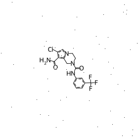 NC(=O)c1c(Cl)cn2c1CN(C(=O)Nc1cccc(C(F)(F)F)c1)CC2